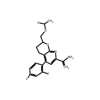 C=C(N)c1cc(-c2ccc(F)cc2F)c2c(n1)OC(COC(C)F)CC2